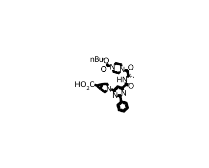 CCCCOC(=O)N1CCN(C(=O)[C@H](C)NC(=O)c2cc(N3CC4C(C3)C4C(=O)O)nc(-c3ccccc3)n2)CC1